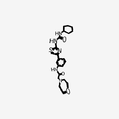 O=C(CN1CCOCC1)Nc1cccc(-c2csc(NC(=O)NC3CCCCC3)n2)c1